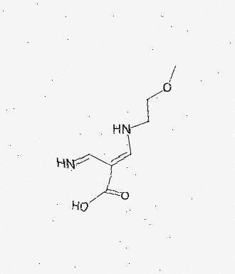 COCCN/C=C(\C=N)C(=O)O